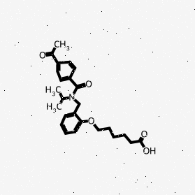 CC(=O)c1ccc(C(=O)N(Cc2ccccc2OCCCCCC(=O)O)C(C)C)cc1